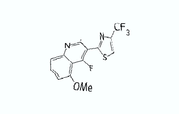 COc1cccc2n[c]c(-c3nc(C(F)(F)F)cs3)c(F)c12